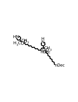 CCCCCCCCCCCCCCCCCCCC(=O)OC(C)(CC(CCCCCCCCCC)CCCCCCCCCC(=O)OC(C)(C)C1CCNCC1)C1CCNCC1